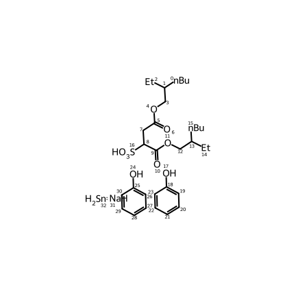 CCCCC(CC)COC(=O)CC(C(=O)OCC(CC)CCCC)S(=O)(=O)O.Oc1ccccc1.Oc1ccccc1.[NaH].[SnH2]